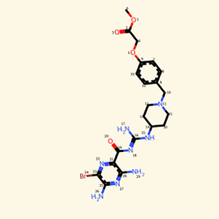 COC(=O)COc1ccc(CN2CCC(N/C(N)=N/C(=O)c3nc(Br)c(N)nc3N)CC2)cc1